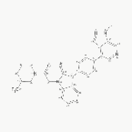 Cn1ncc2c(-c3ccc(-n4c(=O)n(CC(=O)N5CCCC(C(F)(F)F)C5)c5ccccc54)cc3)cncc21